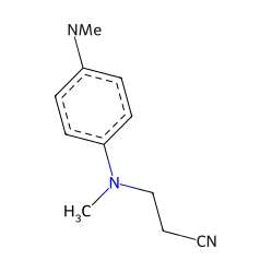 CNc1ccc(N(C)CCC#N)cc1